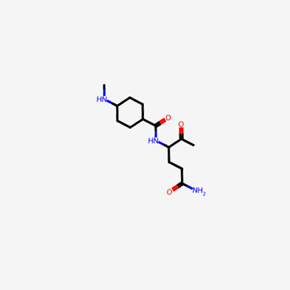 CNC1CCC(C(=O)NC(CCC(N)=O)C(C)=O)CC1